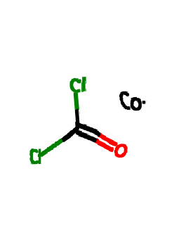 O=C(Cl)Cl.[Co]